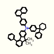 CC1(C)c2cc(N(c3ccc(-c4cccc5ccccc45)cc3)c3ccc(C4(c5ccccc5)CCCCC4)cc3)ccc2-c2c(-c3ccccc3)cccc21